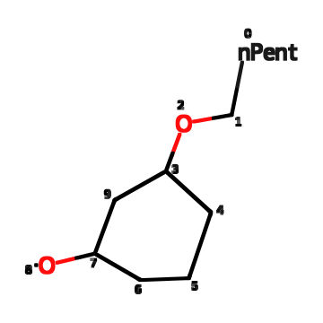 CCCCCCOC1CCCC([O])C1